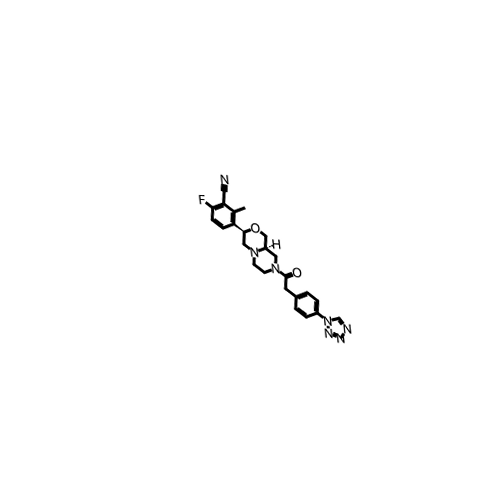 Cc1c([C@@H]2CN3CCN(C(=O)Cc4ccc(-n5cnnn5)cc4)C[C@@H]3CO2)ccc(F)c1C#N